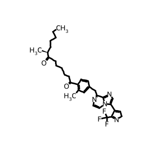 CCCCC[C@H](C)C(=O)CCCCCC(=O)c1ccc(Cc2nccn3c(C4=CCN=C4C(F)(F)F)cnc23)cc1C